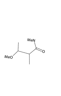 CNC(=O)C(C)C(C)OC